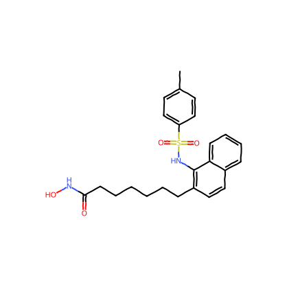 Cc1ccc(S(=O)(=O)Nc2c(CCCCCCC(=O)NO)ccc3ccccc23)cc1